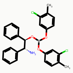 Cc1ccc(OB(Oc2ccc(C)c(Cl)c2)O[C@H](c2ccccc2)[C@H](N)c2ccccc2)cc1Cl